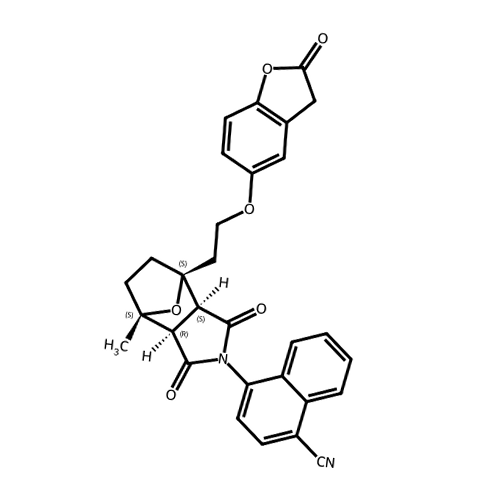 C[C@@]12CC[C@@](CCOc3ccc4c(c3)CC(=O)O4)(O1)[C@H]1C(=O)N(c3ccc(C#N)c4ccccc34)C(=O)[C@H]12